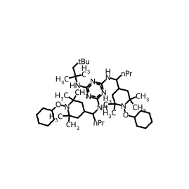 CCCC(Nc1nc(NC(CCC)C2CC(C)(C)N(OC3CCCCC3)C(C)(C)C2)nc(NC(C)(C)CC(C)(C)C)n1)C1CC(C)(C)N(OC2CCCCC2)C(C)(C)C1